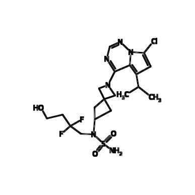 CC(C)c1cc(Cl)n2ncnc(N3CC4(CC(N(CC(F)(F)CCO)S(N)(=O)=O)C4)C3)c12